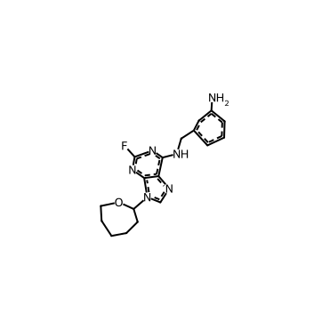 Nc1cccc(CNc2nc(F)nc3c2ncn3C2CCCCCO2)c1